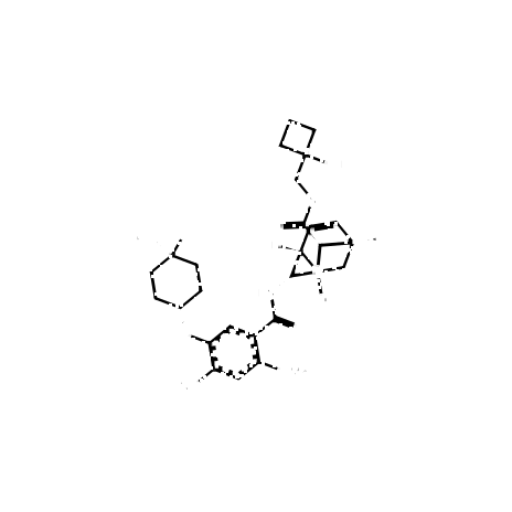 CCCP123C[C@H](C=C[C@H]1[C@H]2NC(=O)c1cc(O[C@H]2CC[C@@](C)(C=O)CC2)c(C#N)cc1OC)[C@@H]3C(=O)NCC1(C)CCC1